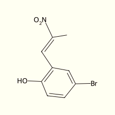 CC(=Cc1cc(Br)ccc1O)[N+](=O)[O-]